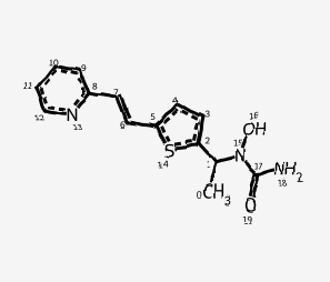 CC(c1ccc(C=Cc2ccccn2)s1)N(O)C(N)=O